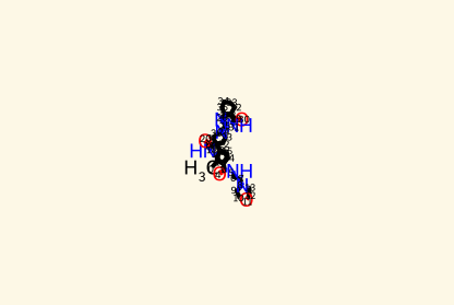 Cc1c(C(=O)NCCN2CCOCC2)ccc2c1NC(=O)C21CCN(c2nc3c(c(=O)[nH]2)CCCC3)CC1